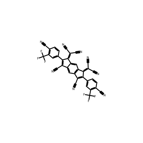 N#CC(C#N)=C1C(c2ccc(C#N)c(C(F)(F)F)c2)=C(C#N)c2cc3c(cc21)C(=C(C#N)C#N)C(c1ccc(C#N)c(C(F)(F)F)c1)=C3C#N